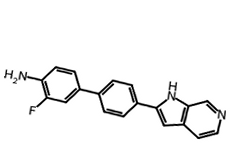 Nc1ccc(-c2ccc(-c3cc4ccncc4[nH]3)cc2)cc1F